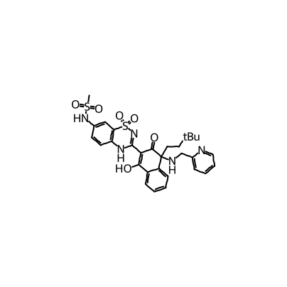 CC(C)(C)CCC1(NCc2ccccn2)C(=O)C(C2=NS(=O)(=O)c3cc(NS(C)(=O)=O)ccc3N2)=C(O)c2ccccc21